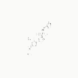 NCc1cc(-c2ccnc(NC(=O)[C@@H]3C[C@H]3c3cnco3)c2)ccc1OC1CCOCC1